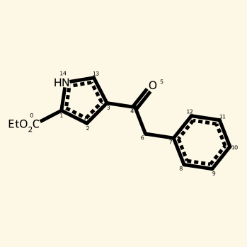 CCOC(=O)c1cc(C(=O)Cc2ccccc2)c[nH]1